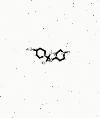 CNC1CCN(C(C)(C)NC2CCN(C(C)C)CC2)CC1